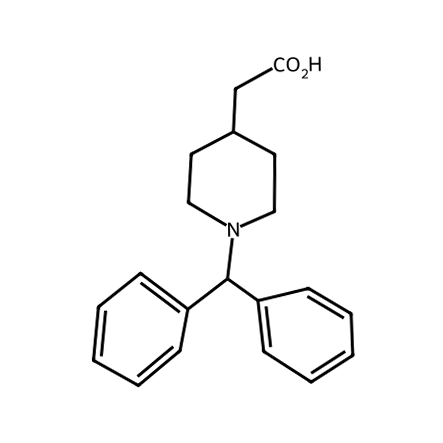 O=C(O)CC1CCN(C(c2ccccc2)c2ccccc2)CC1